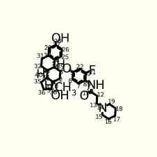 C[C@]12C[C@H](Oc3ccc(NC(=O)CCN4CCCCC4)c(F)c3)[C@@H]3c4ccc(O)cc4CC[C@H]3[C@@H]1CC[C@@H]2O